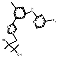 Cc1cc(Nc2nccc(C(F)(F)F)n2)cc(-c2cn(CC(C)(O)C(C)(C)O)nn2)c1